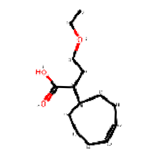 CCOCCC(C(=O)O)C1CC/C=C\CCC1